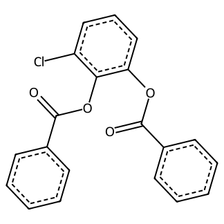 O=C(Oc1cccc(Cl)c1OC(=O)c1ccccc1)c1ccccc1